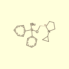 CC(C)(C)[Si](OC[C@@H]1CCCN1C1CC1)(c1ccccc1)c1ccccc1